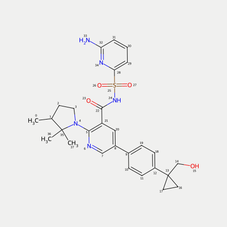 CC1CCN(c2ncc(-c3ccc(C4(CO)CC4)cc3)cc2C(=O)NS(=O)(=O)c2cccc(N)n2)C1(C)C